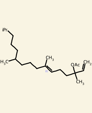 C=CC(C)(CC/C=C(\C)CCCC(C)CCCC(C)C)OC(C)=O